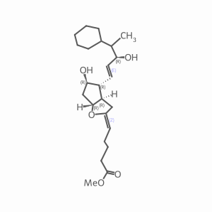 COC(=O)CCC/C=C1/C[C@@H]2[C@@H](/C=C/[C@H](O)C(C)C3CCCCC3)[C@H](O)C[C@H]2O1